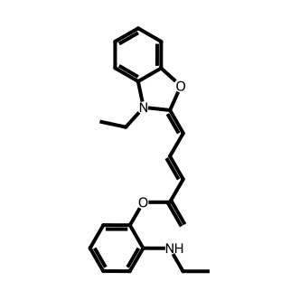 C=C(/C=C/C=C1/Oc2ccccc2N1CC)Oc1ccccc1NCC